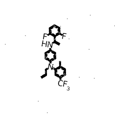 C=CCN(c1ccc(NC(=C)c2c(F)cccc2F)cc1)c1cc(C(F)(F)F)ccc1C